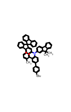 Cc1ccccc1-c1cc(-c2ccc(C(C)(C)C)cc2)ccc1N(c1ccc2c(c1)C(C)(C)c1ccccc1-2)c1ccc2c(c1)C1(c3ccccc3-c3ccccc31)c1ccccc1-2